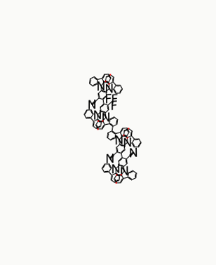 N#Cc1cc(-n2c3ccccc3c3ccccc32)c(-n2c3ccccc3c3ccccc32)cc1-c1cc(-n2c3ccccc3c3ccccc32)c(-n2c3ccccc3c3c(-c4cccc5c4c4ccccc4n5-c4cc(C(F)(F)F)c(-c5cc(-n6c7ccccc7c7ccccc76)c(-n6c7ccccc7c7ccccc76)cc5C#N)cc4-n4c5ccccc5c5ccccc54)cccc32)cc1C#N